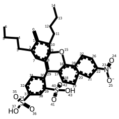 C=c1c(CCCC)cc2c(c1CCCC)Oc1c(ccc3cc([N+](=O)[O-])ccc13)C=2c1ccc(S(=O)(=O)O)cc1S(=O)(=O)O